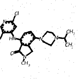 CC(C)N1CCN(c2ccc(Nc3cc(Cl)ncc3Cl)c3c2CN(C)C3=O)CC1